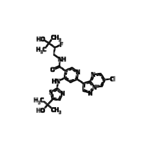 CC(C)(O)c1cnc(Nc2cc(-c3cnn4cc(Cl)cnc34)ncc2C(=O)NCC(F)C(C)(C)O)s1